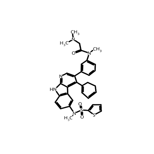 CN(C)CC(=O)N(C)c1cccc(-c2cnc3[nH]c4ccc(N(C)S(=O)(=O)c5cccs5)cc4c3c2C2=CC=CCC2)c1